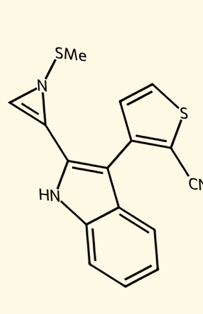 CSN1C=C1c1[nH]c2ccccc2c1-c1ccsc1C#N